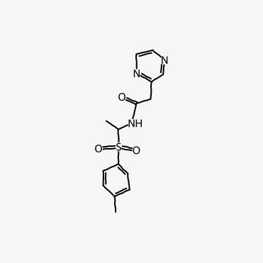 Cc1ccc(S(=O)(=O)C(C)NC(=O)Cc2cnccn2)cc1